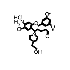 COc1cc(COc2cc(N)c(Cl)cc2C(CCCC=O)N2CCC(CCO)CC2)cc(OC)c1.Cl